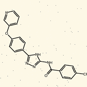 O=C(Nc1nnc(-c2ccc(Oc3cccnc3)cc2)[nH]1)c1ccc(C(F)(F)F)cc1